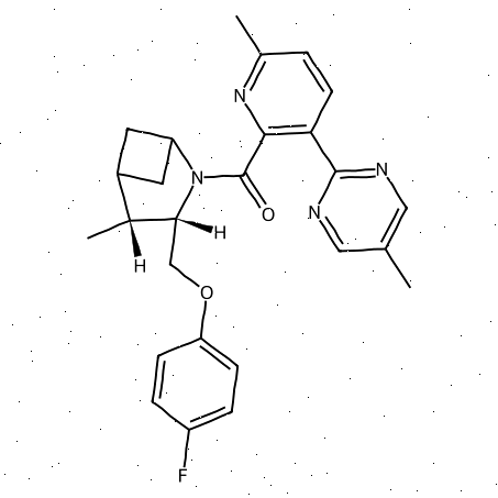 Cc1cnc(-c2ccc(C)nc2C(=O)N2C3CC(C3)[C@@H](C)[C@H]2COc2ccc(F)cc2)nc1